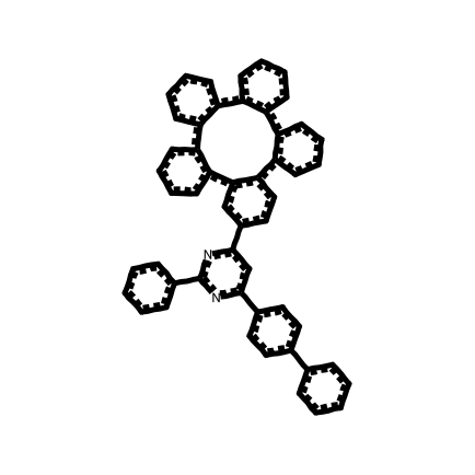 c1ccc(-c2ccc(-c3cc(-c4ccc5c6ccccc6c6ccccc6c6ccccc6c6ccccc6c5c4)nc(-c4ccccc4)n3)cc2)cc1